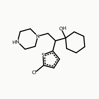 OC1(C(CN2CCNCC2)c2ccc(Cl)s2)CCCCC1